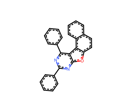 c1ccc(-c2nc(-c3ccccc3)c3c(n2)oc2ccc4ccccc4c23)cc1